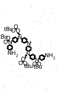 CN(c1ccc(N(CCOC(=O)OC(C)(C)C)c2ccc(N(C(=O)OC(C)(C)C)c3ccc(N)cc3)cc2)cc1)c1ccc(N(CCOC(=O)OC(C)(C)C)c2ccc(N(C(=O)OC(C)(C)C)c3ccc(N)cc3)cc2)cc1